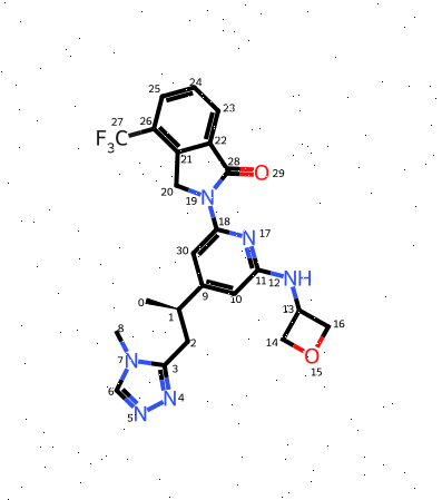 C[C@H](Cc1nncn1C)c1cc(NC2COC2)nc(N2Cc3c(cccc3C(F)(F)F)C2=O)c1